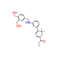 CCC(=O)C1=CC=C(c2cccc(NCc3ccc(CO)c(CO)c3)c2)C(C)(C)C1